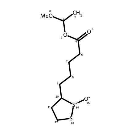 COC(C)OC(=O)CCCCC1CCS[S+]1[O-]